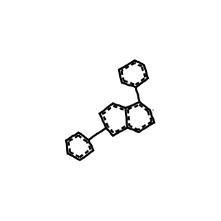 [c]1ccc2cc(-c3ccccc3)ccc2c1-c1ccccc1